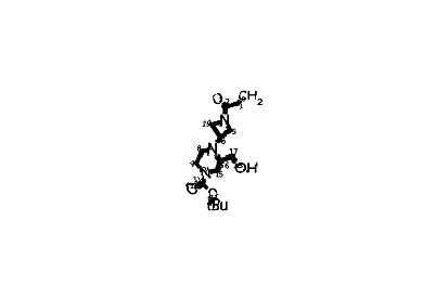 C=CC(=O)N1CC(N2CCN(C(=O)OC(C)(C)C)CC2CO)C1